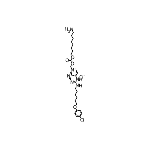 N#CN=C(NCCCCCCOc1ccc(Cl)cc1)Nc1cc[n+](COC(=O)OCCCCCCCCN)cc1.[Cl-]